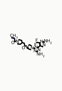 C/C=C/C(=O)N1CCC(CC(=O)N2CCN(c3nc(N)nc(-c4cnc(N)nc4C(F)F)n3)CC2)CC1